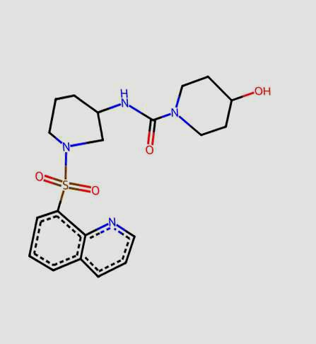 O=C(NC1CCCN(S(=O)(=O)c2cccc3cccnc23)C1)N1CCC(O)CC1